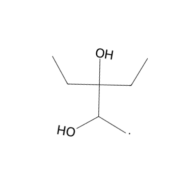 [CH2]C(O)C(O)(CC)CC